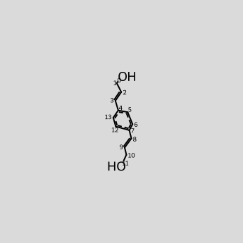 OCC=Cc1ccc(C=CCO)cc1